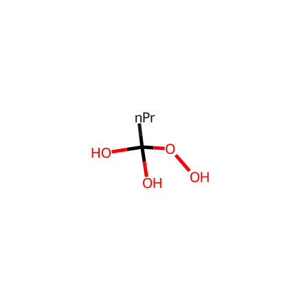 CCCC(O)(O)OO